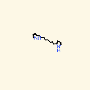 c1c[nH]c(CCCCCCCCc2ccc[nH]2)c1